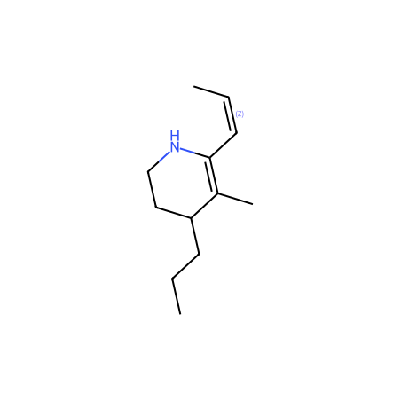 C/C=C\C1=C(C)C(CCC)CCN1